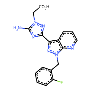 Nc1nc(-c2nn(Cc3ccccc3F)c3ncccc23)nn1CC(=O)O